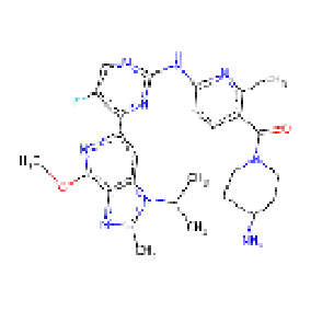 COc1nc(-c2nc(Nc3ccc(C(=O)N4CCC(N)CC4)c(C)n3)ncc2F)cc2c1nc(C)n2C(C)C